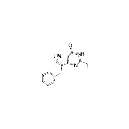 CCc1nc2c(Cc3ccccc3)c[nH]c2c(=O)[nH]1